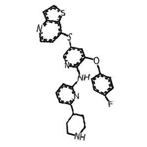 Fc1ccc(Oc2cc(Sc3ccnc4ccsc34)cnc2Nc2cccc(C3CCNCC3)n2)cc1